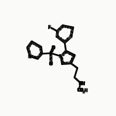 O=C(O)NCCc1cc(-c2cccc(F)c2)n(S(=O)(=O)c2cccnc2)c1